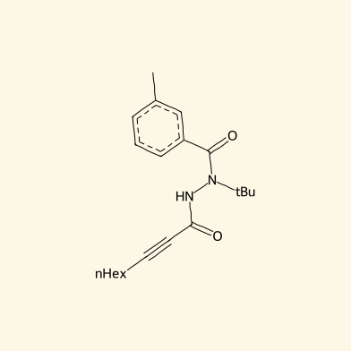 CCCCCCC#CC(=O)NN(C(=O)c1cccc(C)c1)C(C)(C)C